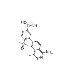 Cc1nnc(N)c2ccc(-c3cc(B(O)O)ccc3P(C)(C)=O)cc12